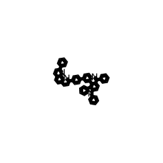 c1ccc(-c2ccc3ccc4ccc(-c5ccc(-c6ccc7nc(-c8ccccc8)c8ccc9c(c%10ccccc%10n9-c9ccccc9)c8c7c6)cc5)nc4c3n2)cc1